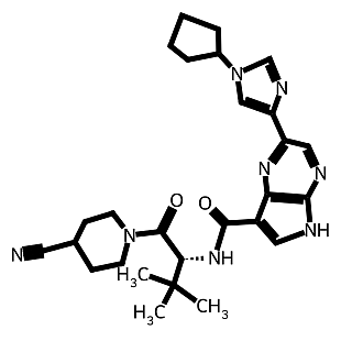 CC(C)(C)[C@@H](NC(=O)c1c[nH]c2ncc(-c3cn(C4CCCC4)cn3)nc12)C(=O)N1CCC(C#N)CC1